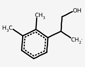 [CH2]C(CO)c1cccc(C)c1C